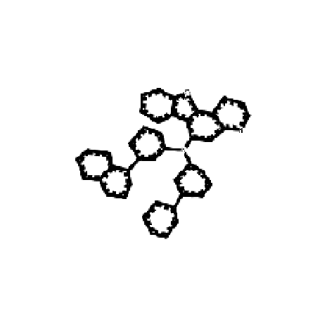 c1ccc(-c2cccc(N(c3cccc(-c4cccc5ccccc45)c3)c3cc4ncccc4c4oc5ccccc5c34)c2)cc1